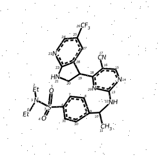 CCN(CC)S(=O)(=O)c1ccc(C(C)Nc2ncc(C#N)c(C3CNc4ncc(C(F)(F)F)cc43)n2)cc1